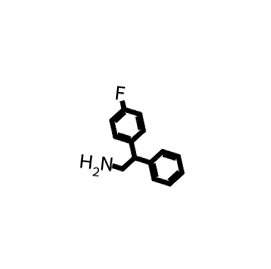 NCC(c1ccccc1)c1ccc(F)cc1